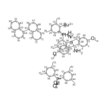 COc1ccc(C(N)(c2ccc(OC)cc2)[C@@](N)(c2c(C)cc(C)cc2Pc2cc(C)cc(C)[c]2[Ru+2])C(C)C)cc1.Cc1cc(C)cc(Pc2cc(C)cc(C)c2)c1.[Cl-].[Cl-].c1ccc2c(-c3cccc4ccccc34)cccc2c1